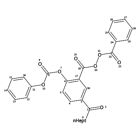 CCCCCCCC(=O)c1ccc(OC(=O)Oc2ccccc2)c(C(=O)OOC(=O)c2ccccc2)c1